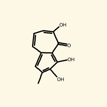 Cc1cc2cccc(O)c(=O)c2c(O)c1O